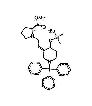 COC(=O)[C@@H]1CCCN1CC=C1CN(C(c2ccccc2)(c2ccccc2)c2ccccc2)CCC1O[Si](C)(C)C(C)(C)C